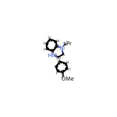 COc1ccc([C@H]2CN(C(C)C)c3ccccc3N2)cc1